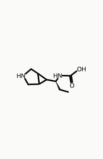 CC[C@H](NC(=O)O)C1C2CNCC21